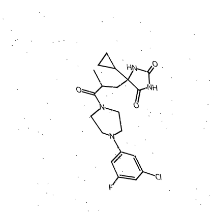 CC(CC1(C2CC2)NC(=O)NC1=O)C(=O)N1CCN(c2cc(F)cc(Cl)c2)CC1